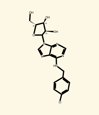 OC[C@H]1OC(n2cnc3c(NCc4ccc(Cl)cc4)ncnc32)[C@H](O)[C@@H]1O